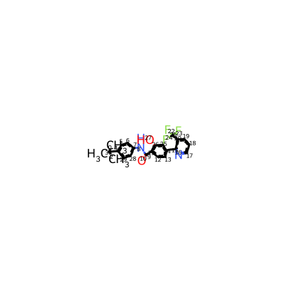 CC(C)(C)c1ccc(NC(=O)c2ccc(-c3ncccc3C(F)(F)F)cc2O)cc1